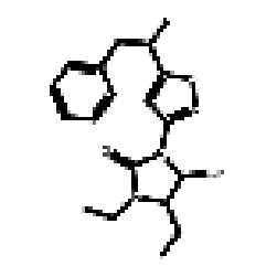 CCC1C(O)N(c2cc(C(C)Cc3ccccc3)on2)C(=O)N1CC